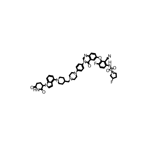 N#Cc1c(NS(=O)(=O)N2CC[C@@H](F)C2)ccc(F)c1Oc1ccc2ncn(-c3ccc(N4CCN(CC5CCN(c6cccc7c6ccn7C6CCC(=O)NC6=O)CC5)CC4)cc3)c(=O)c2c1